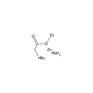 CCCCCC(=O)OCC.[PbH2].[Zn]